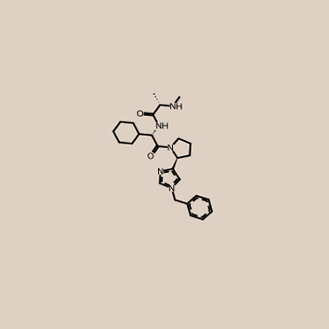 CN[C@@H](C)C(=O)N[C@H](C(=O)N1CCC[C@H]1c1cn(Cc2ccccc2)cn1)C1CCCCC1